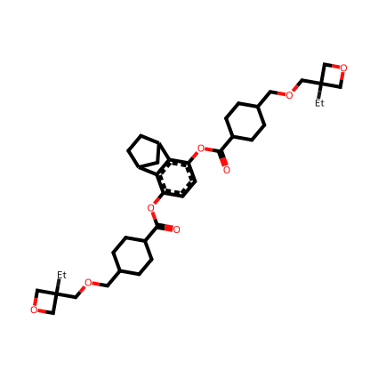 CCC1(COCC2CCC(C(=O)Oc3ccc(OC(=O)C4CCC(COCC5(CC)COC5)CC4)c4c3C3CCC4C3)CC2)COC1